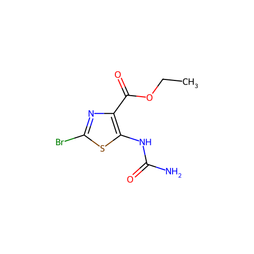 CCOC(=O)c1nc(Br)sc1NC(N)=O